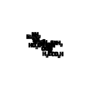 CCC1=C(N)N=C(SCC2=C(C(=O)O)N3C(=O)C(NC(=O)/C(=N\OC(C)CC(=O)O)c4csc(N)n4)[C@@H]3SC2)N(N)C1